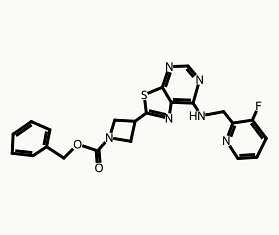 O=C(OCc1ccccc1)N1CC(c2nc3c(NCc4ncccc4F)ncnc3s2)C1